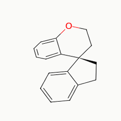 c1ccc2c(c1)CC[C@@]21CCOc2ccccc21